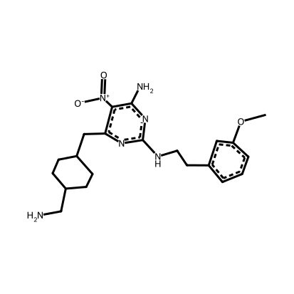 COc1cccc(CCNc2nc(N)c([N+](=O)[O-])c(CC3CCC(CN)CC3)n2)c1